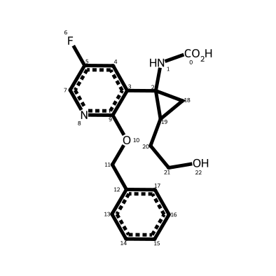 O=C(O)NC1(c2cc(F)cnc2OCc2ccccc2)CC1CCO